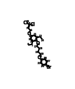 CCc1cc(OCC=C(Cl)Cl)cc(CC)c1OCCCCOc1ccc(Br)cc1